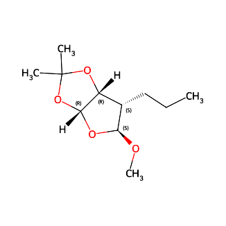 CCC[C@@H]1[C@@H](OC)O[C@@H]2OC(C)(C)O[C@@H]21